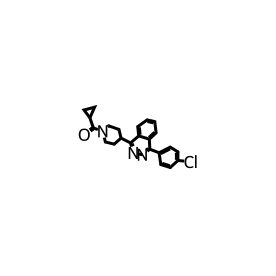 O=C(C1CC1)N1CCC(c2nnc(-c3ccc(Cl)cc3)c3ccccc23)CC1